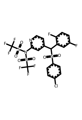 O=S(=O)(c1ccc(Cl)cc1)C(c1ccnc(N(S(=O)(=O)C(F)(F)F)S(=O)(=O)C(F)(F)F)c1)c1cc(F)ccc1F